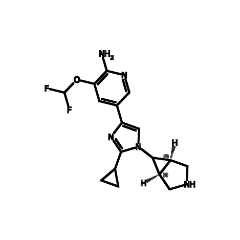 Nc1ncc(-c2cn(C3[C@H]4CNC[C@@H]34)c(C3CC3)n2)cc1OC(F)F